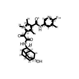 Cc1cc(NC(=O)c2c(C)c(C(=O)C(=O)N[C@H]3C4CC5CC3C[C@](O)(C5)C4)n(C)c2C)cnc1F